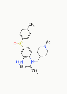 C=C(N(CC1CCN(C(C)=O)CC1)c1ccc([S+]([O-])c2ccc(C(F)(F)F)cc2)cc1N)C(C)(C)C